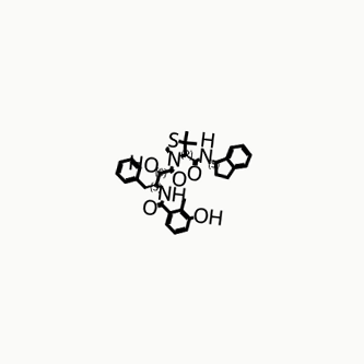 Cc1c(O)cccc1C(=O)N[C@@H](Cc1ccccc1)[C@H](O)C(=O)N1CSC(C)(C)[C@H]1C(=O)N[C@H]1CCc2ccccc21